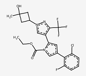 CCOC(=O)n1cc(-c2c(F)cccc2Cl)cc1-c1cn(C2CC(C)(O)C2)nc1C(F)(F)F